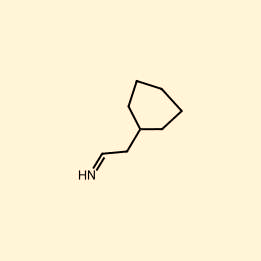 N=CCC1CCCCC1